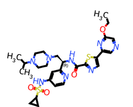 CCOc1cncc(-c2cnc(C(=O)N[C@H](CN3CCN(C(C)C)CC3)c3cc(NS(=O)(=O)C4CC4)ccn3)s2)n1